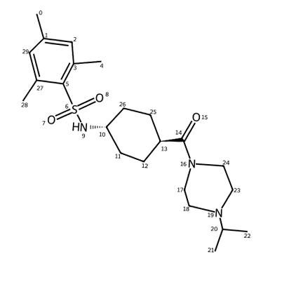 Cc1cc(C)c(S(=O)(=O)N[C@H]2CC[C@H](C(=O)N3CCN(C(C)C)CC3)CC2)c(C)c1